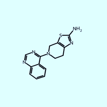 Nc1nc2c(s1)CN(c1ncnc3ccccc13)CC2